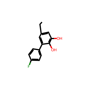 CCc1cc(O)c(O)c(-c2ccc(F)cc2)c1